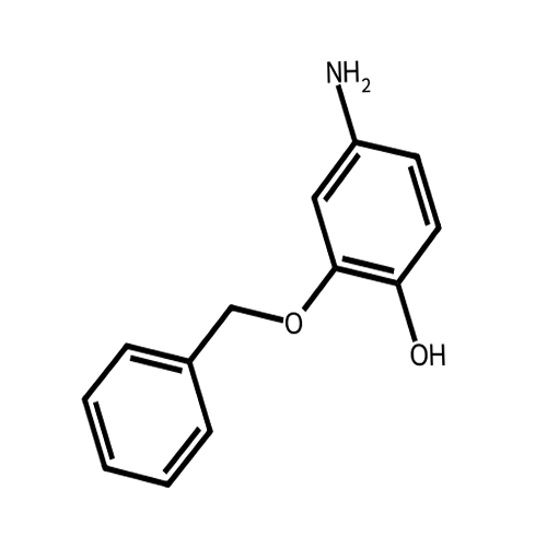 Nc1ccc(O)c(OCc2ccccc2)c1